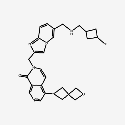 O=c1c2cncc(N3CC4(COC4)C3)c2ccn1Cc1cn2cc(CNCC3CC(F)C3)ccc2n1